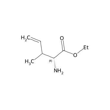 C=CC(C)[C@@H](N)C(=O)OCC